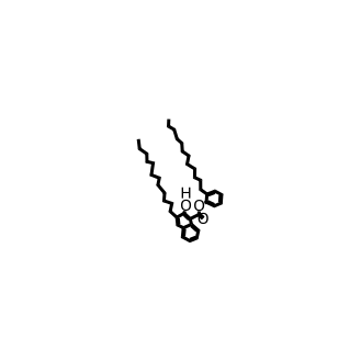 CCCCCCCCCCCCc1ccccc1OC(=O)c1c(O)c(CCCCCCCCCCCC)cc2ccccc12